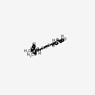 Cc1sc2c(c1C)C(c1ccc(Cl)cc1)=N[C@@H](CC(=O)NCCOCCOCCOCCC(=O)NC1CCCN(C(=O)c3ccc4c(c3)NC(=O)C4)C1)c1nnc(C)n1-2